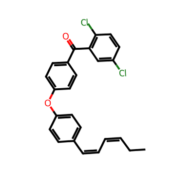 CC/C=C\C=C/c1ccc(Oc2ccc(C(=O)c3cc(Cl)ccc3Cl)cc2)cc1